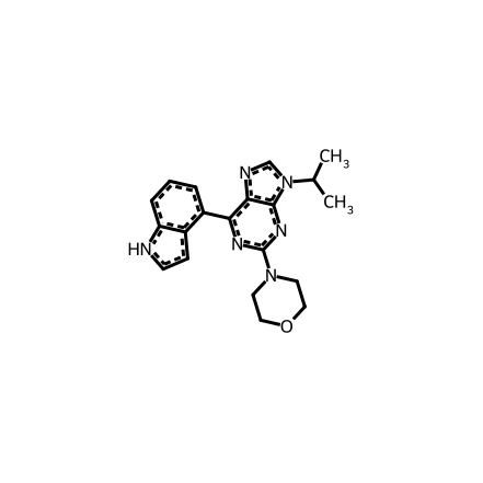 CC(C)n1cnc2c(-c3cccc4[nH]ccc34)nc(N3CCOCC3)nc21